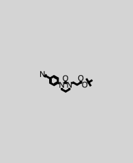 CC(C)(C)OC(=O)CCN1CCCN(c2ccc(C#N)cc2)C1=O